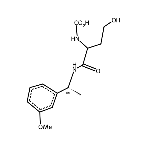 COc1cccc([C@@H](C)NC(=O)C(CCO)NC(=O)O)c1